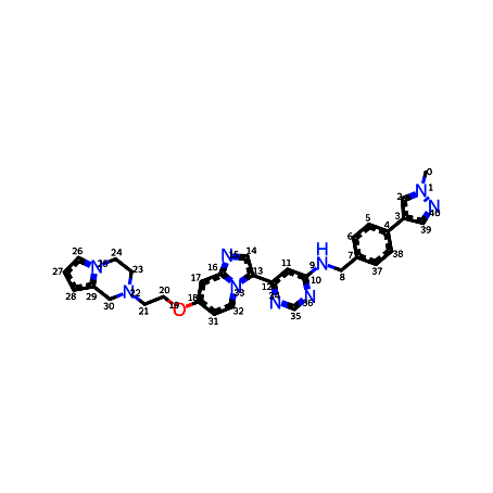 Cn1cc(-c2ccc(CNc3cc(-c4cnc5cc(OCCN6CCn7cccc7C6)ccn45)ncn3)cc2)cn1